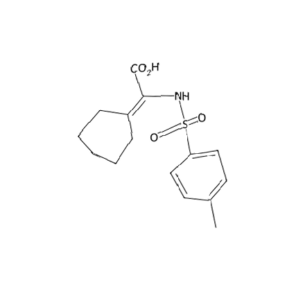 Cc1ccc(S(=O)(=O)NC(C(=O)O)=C2CCCCC2)cc1